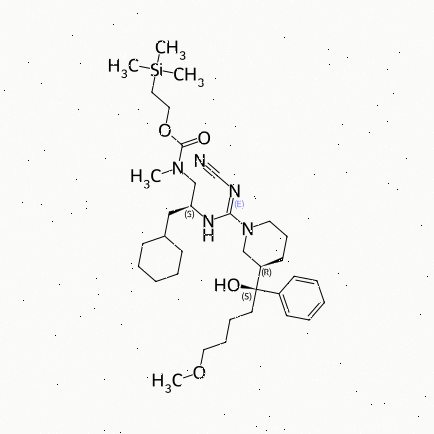 COCCCC[C@@](O)(c1ccccc1)[C@@H]1CCCN(/C(=N/C#N)N[C@@H](CC2CCCCC2)CN(C)C(=O)OCC[Si](C)(C)C)C1